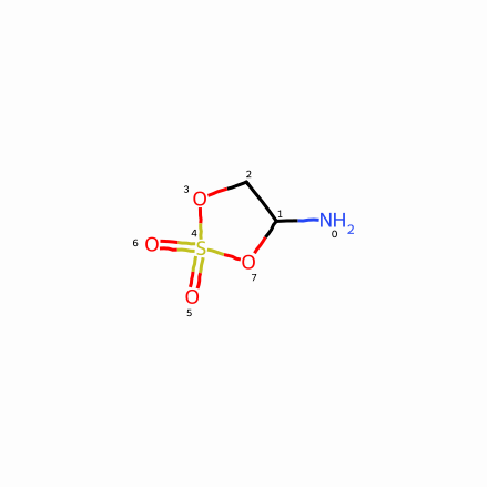 NC1COS(=O)(=O)O1